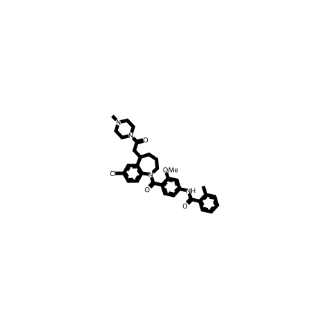 COc1cc(NC(=O)c2ccccc2C)ccc1C(=O)N1CCCC(CC(=O)N2CCN(C)CC2)c2cc(Cl)ccc21